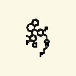 Cc1c(C2=C(c3ccc(CC4CN(CCCF)C4)c(F)c3)c3ccccc3CCC2)ccc(Cl)c1F